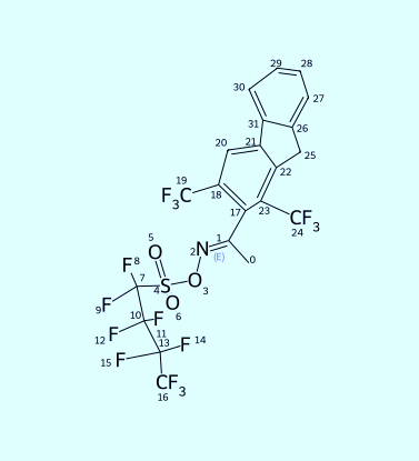 C/C(=N\OS(=O)(=O)C(F)(F)C(F)(F)C(F)(F)C(F)(F)F)c1c(C(F)(F)F)cc2c(c1C(F)(F)F)Cc1ccccc1-2